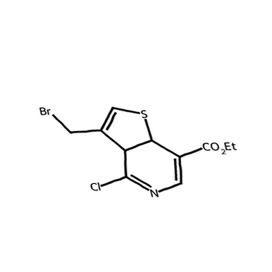 CCOC(=O)C1=CN=C(Cl)C2C(CBr)=CSC12